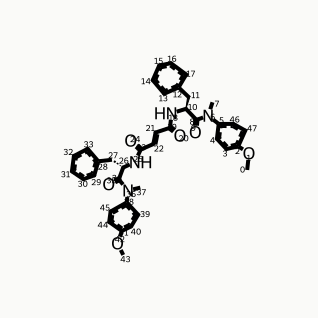 COc1ccc(N(C)C(=O)[C@H](Cc2ccccc2)NC(=O)/C=C/C(=O)N[C@@H](Cc2ccccc2)C(=O)N(C)c2ccc(OC)cc2)cc1